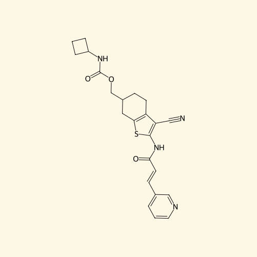 N#Cc1c(NC(=O)C=Cc2cccnc2)sc2c1CCC(COC(=O)NC1CCC1)C2